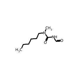 CCCCCCN(C)C(=O)NC=O